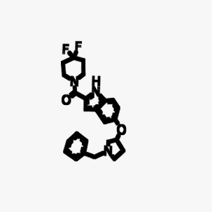 O=C(c1cc2cc(OC3CCN(Cc4ccccc4)C3)ccc2[nH]1)N1CCC(F)(F)CC1